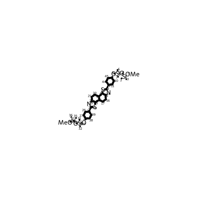 CO[Si](C)(C)O[Si](C)(C)Oc1ccc(-c2nc3ccc4c(ccc5nc(-c6ccc(O[Si](C)(C)O[Si](C)(C)OC)cc6)sc54)c3s2)cc1